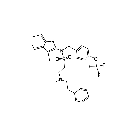 Cc1c(N(Cc2ccc(OC(F)(F)F)cc2)S(=O)(=O)CCN(C)CCc2ccccc2)sc2ccccc12